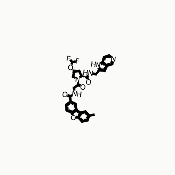 Cc1ccc2oc3ccc(C(=O)NCC(=O)N4C[C@H](OC(F)F)C[C@H]4C(=O)NCc4cc5cnccc5[nH]4)cc3c2c1